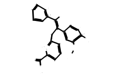 COc1cc(/C(Cc2cccc(C(=O)O)n2)=C(\C)c2ccccc2)ccc1Cl